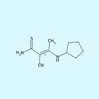 C/C(NC1CCCC1)=C(/C#N)C(N)=S